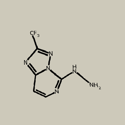 NNc1nccc2nc(C(F)(F)F)nn12